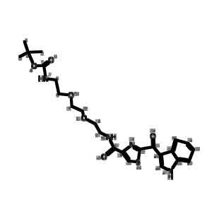 CC(C)(C)OC(=O)NCCOCCOCCNC(=O)c1csc(C(=O)c2c[nH]c3ccccc23)n1